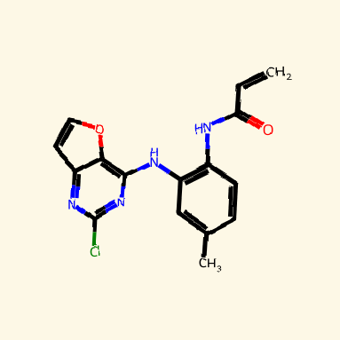 C=CC(=O)Nc1ccc(C)cc1Nc1nc(Cl)nc2ccoc12